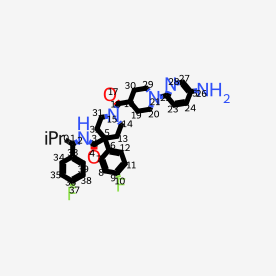 CC(C)C(NC(=O)C1(c2ccc(F)cc2)CCN(C(=O)C2CCN(c3ccc(N)cn3)CC2)CC1)c1ccc(F)cc1